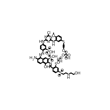 COc1ccc(SC#COOS(=O)(=O)O)cc1Nc1nc(Cl)nc(Nc2ccc(N=Nc3c(N)ccc4c(O)c(N=Nc5ccc(S(=O)(=O)CCNCCO)cc5SOOO)c(S(=O)(=O)O)cc34)c(S(=O)(=O)O)c2)n1